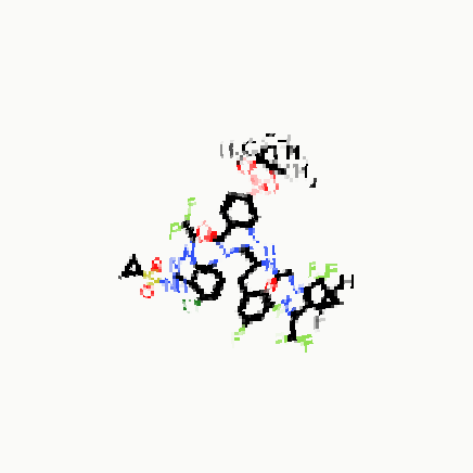 CC1(C)OB(c2ccc3c(=O)n(-c4ccc(Cl)c5c(NS(=O)(=O)C6CC6)nn(CC(F)F)c45)c(C(Cc4cc(F)cc(F)c4)NC(=O)Cn4nc(C(F)F)c5c4C(F)(F)[C@@H]4C[C@H]54)nc3c2)OC1(C)C